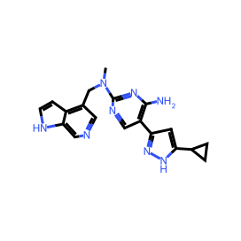 CN(Cc1cncc2[nH]ccc12)c1ncc(-c2cc(C3CC3)[nH]n2)c(N)n1